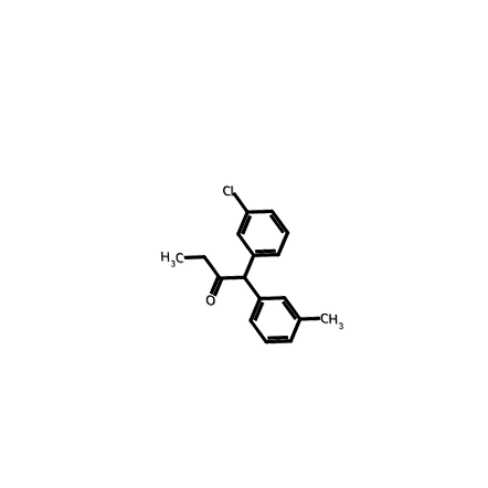 CCC(=O)C(c1cccc(C)c1)c1cccc(Cl)c1